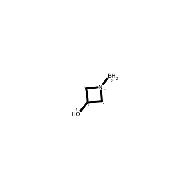 BN1CC(O)C1